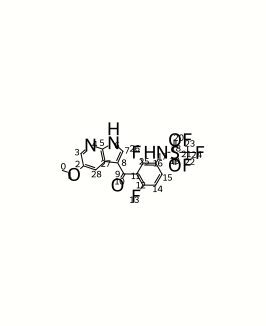 COc1cnc2[nH]cc(C(=O)c3c(F)ccc(NS(=O)(=O)C(F)(F)F)c3F)c2c1